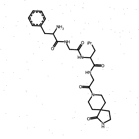 CC(C)CC(NC(=O)CNC(=O)C(N)Cc1ccccc1)C(=O)NCC(=O)N1CCC2(CCNC2=O)CC1